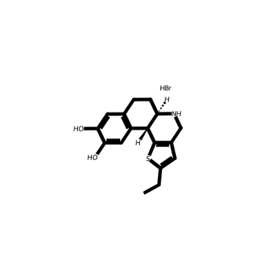 Br.CCc1cc2c(s1)[C@@H]1c3cc(O)c(O)cc3CC[C@H]1NC2